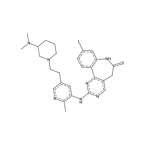 Cc1ncc(CCN2CCCC(N(C)C)C2)cc1Nc1ncc2c(n1)-c1ccc(I)cc1NC(=S)C2